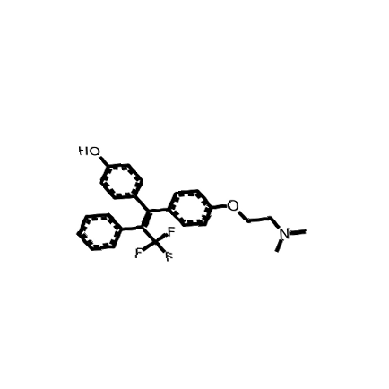 CN(C)CCOc1ccc(C(=C(c2ccccc2)C(F)(F)F)c2ccc(O)cc2)cc1